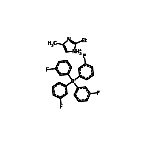 CCC1=NC(C)=C[NH2+]1.Fc1cccc([B-](c2cccc(F)c2)(c2cccc(F)c2)c2cccc(F)c2)c1